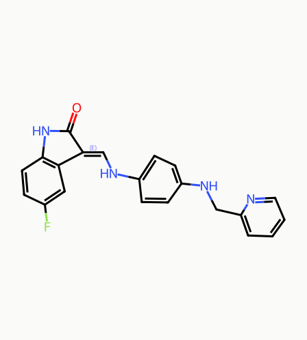 O=C1Nc2ccc(F)cc2/C1=C\Nc1ccc(NCc2ccccn2)cc1